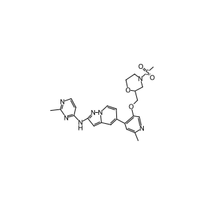 Cc1cc(-c2ccn3nc(Nc4ccnc(C)n4)cc3c2)c(OCC2CN(S(C)(=O)=O)CCO2)cn1